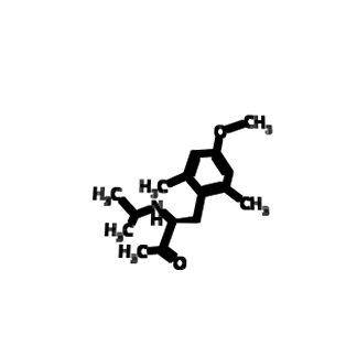 COc1cc(C)c(C[C@H](NC(C)C)C(C)=O)c(C)c1